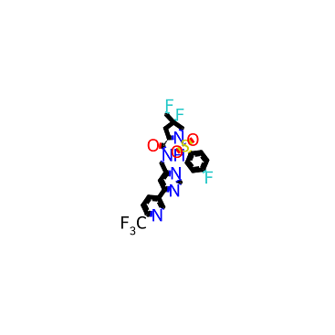 O=C(NCc1cc(-c2ccc(C(F)(F)F)nc2)ncn1)[C@@H]1C[C@](F)(CF)CN1S(=O)(=O)c1ccc(F)cc1